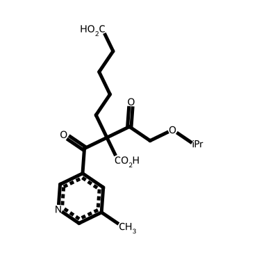 Cc1cncc(C(=O)C(CCCCC(=O)O)(C(=O)O)C(=O)COC(C)C)c1